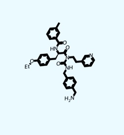 CCOc1ccc(C[C@@H](NC(=O)c2cccc(C)c2)C(=O)N(CCc2cccnc2)C(=O)NCc2ccc(CN)cc2)cc1